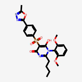 CCCCc1nc(=O)c(S(=O)(=O)c2ccc(-c3nnc(C)o3)cc2)c(O)n1-c1c(OC)cccc1OC